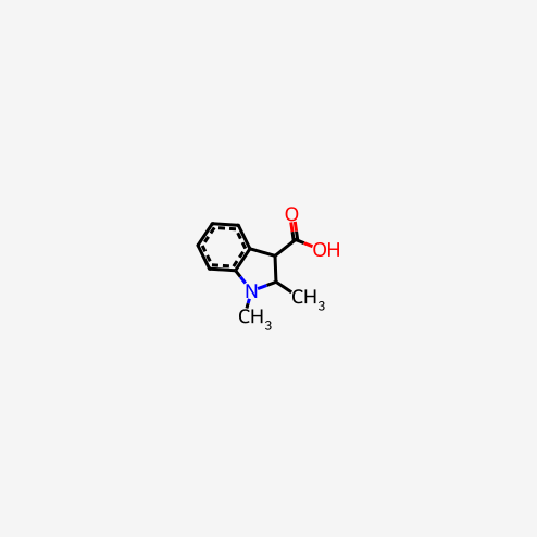 CC1C(C(=O)O)c2ccccc2N1C